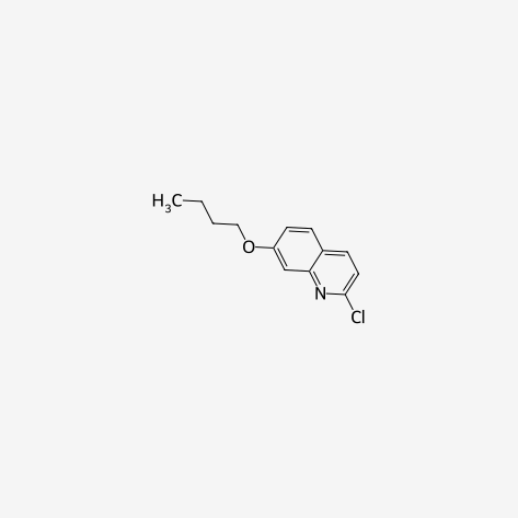 CCCCOc1ccc2ccc(Cl)nc2c1